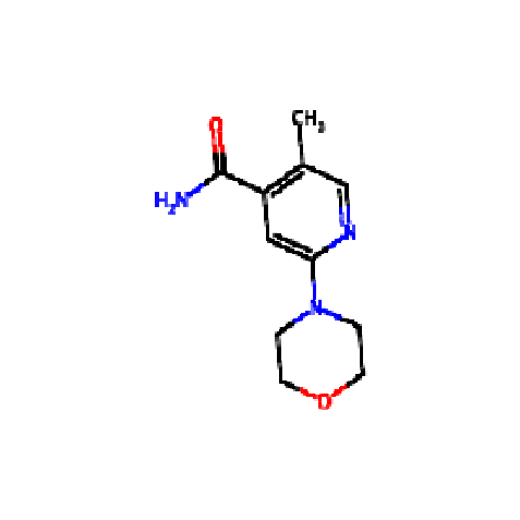 Cc1cnc(N2CCOCC2)cc1C(N)=O